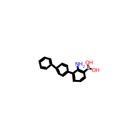 Nc1c(B(O)O)cccc1-c1ccc(-c2ccccc2)cc1